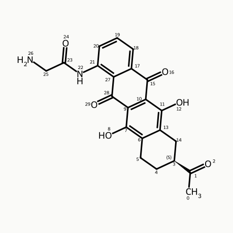 CC(=O)[C@H]1CCc2c(O)c3c(c(O)c2C1)C(=O)c1cccc(NC(=O)CN)c1C3=O